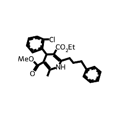 CCOC(=O)C1=C(CCCc2ccccc2)NC(C)=C(C(=O)OC)C1c1ccccc1Cl